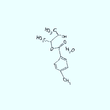 Cc1ccc(C(=O)OC(C(=O)O)C(O)C(=O)O)cc1.O